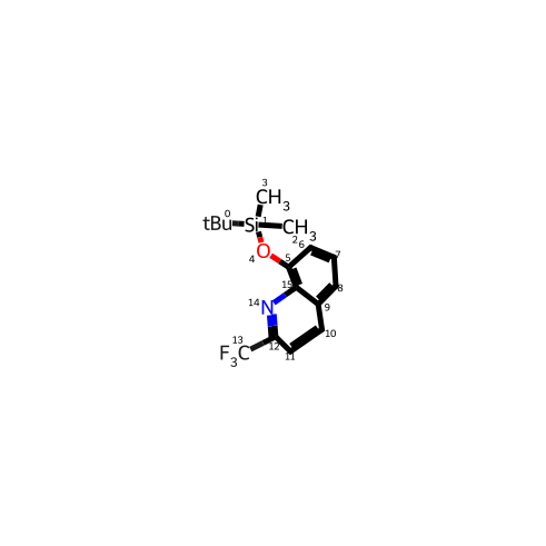 CC(C)(C)[Si](C)(C)Oc1cccc2ccc(C(F)(F)F)nc12